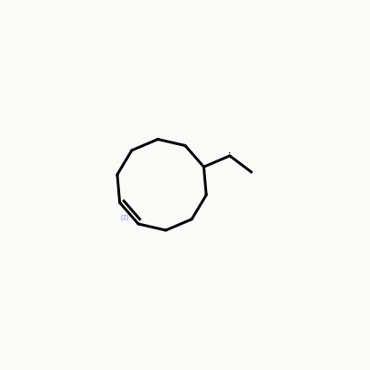 C[CH]C1CCC/C=C\CCCC1